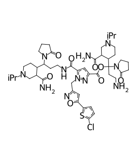 CC(C)N1CCC(C(CCNC(=O)c2cc(C(=O)OC(CCN)(C3CCN(C(C)C)CC3C(N)=O)N3CCCC3=O)nn2Cc2cc(-c3ccc(Cl)s3)on2)N2CCCC2=O)C(C(N)=O)C1